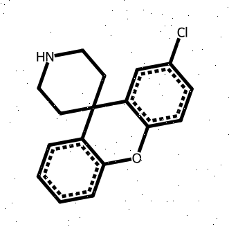 Clc1ccc2c(c1)C1(CCNCC1)c1ccccc1O2